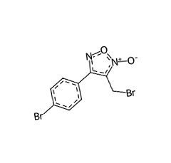 [O-][n+]1onc(-c2ccc(Br)cc2)c1CBr